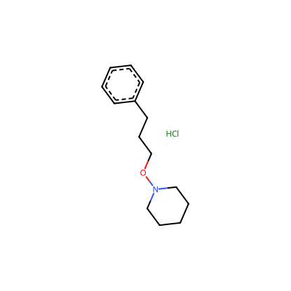 Cl.c1ccc(CCCON2CCCCC2)cc1